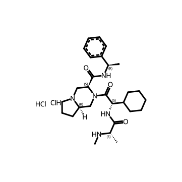 CN[C@@H](C)C(=O)N[C@H](C(=O)N1C[C@H]2CCCN2C[C@H]1C(=O)N[C@H](C)c1ccccc1)C1CCCCC1.Cl.Cl